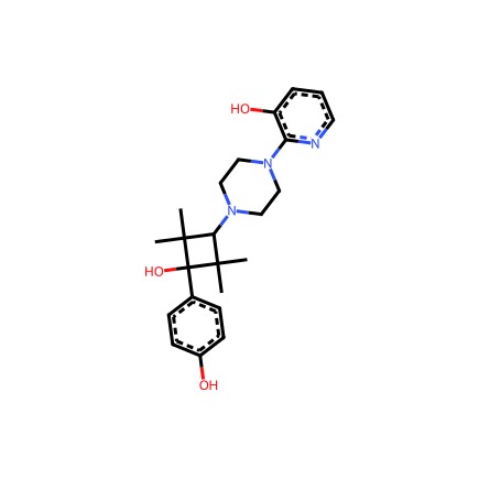 CC1(C)C(N2CCN(c3ncccc3O)CC2)C(C)(C)C1(O)c1ccc(O)cc1